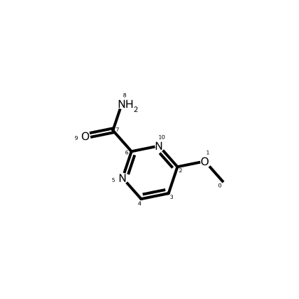 COc1c[c]nc(C(N)=O)n1